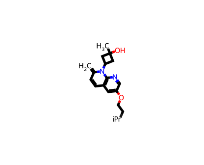 C=C1C=Cc2cc(OCCC(C)C)cnc2N1C1CC(C)(O)C1